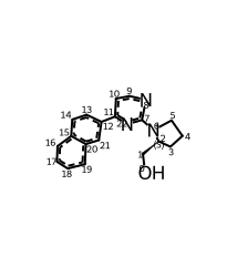 OC[C@@H]1CCCN1c1nccc(-c2ccc3ccccc3c2)n1